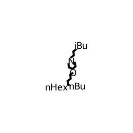 CCCCCCC(CCCC)CCCOC1CCN(CCCCC(C)CC)CC1